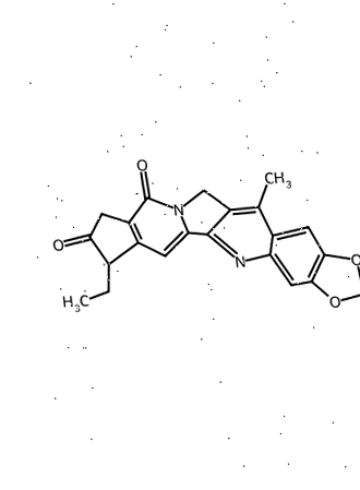 CC[C]1C(=O)Cc2c1cc1n(c2=O)Cc2c-1nc1cc3c(cc1c2C)OCO3